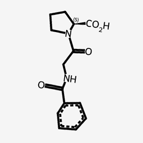 O=C(NCC(=O)N1CCC[C@H]1C(=O)O)c1ccccc1